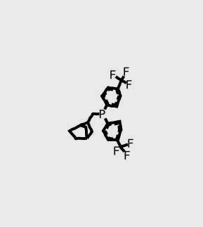 FC(F)(F)c1ccc(P(CC2CC3CCC2C3)c2ccc(C(F)(F)F)cc2)cc1